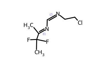 C/C(=N\C=N/CCCl)C(C)(F)F